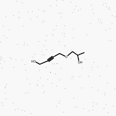 CC(O)COCC#CCO